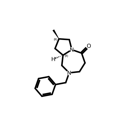 C[C@@H]1C[C@@H]2CN(Cc3ccccc3)CCC(=O)N2C1